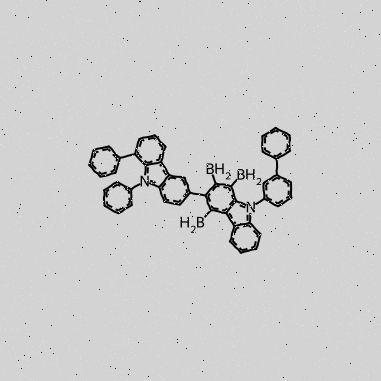 Bc1c(-c2ccc3c(c2)c2cccc(-c4ccccc4)c2n3-c2ccccc2)c(B)c2c3ccccc3n(-c3cccc(-c4ccccc4)c3)c2c1B